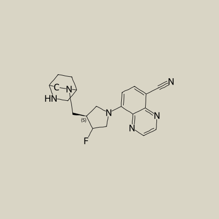 N#Cc1ccc(N2CC(F)[C@@H](CN3CC4CCC3CN4)C2)c2nccnc12